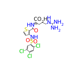 NC(N)NCCC[C@H](NC(=O)c1sccc1NS(=O)(=O)c1cc(Cl)c(Cl)cc1Cl)C(=O)O